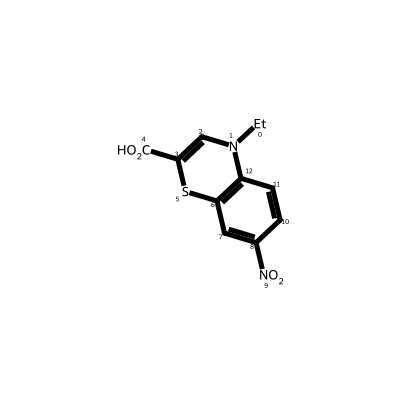 CCN1C=C(C(=O)O)Sc2cc([N+](=O)[O-])ccc21